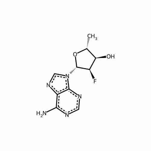 C[C@H]1O[C@@H](n2cnc3c(N)ncnc32)[C@H](F)[C@@H]1O